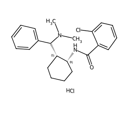 CN(C)C(c1ccccc1)[C@H]1CCCC[C@H]1NC(=O)c1ccccc1Cl.Cl